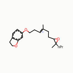 CCCC1(C)OC1CC/C(C)=C/CCOc1ccc2c(c1)OCC2